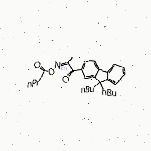 CCCCC1(CCCC)c2ccccc2-c2ccc(C(=O)/C(C)=N\OC(=O)CCC)cc21